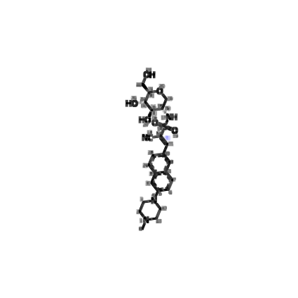 CN1CCN(c2ccc3cc(/C=C(\C#N)S(=O)(=O)N[C@H]4CO[C@H](CO)[C@@H](O)[C@@H]4O)ccc3c2)CC1